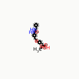 CCO[C@@H](Cc1ccc(OCCc2ccc(NC(=O)NCc3ccccc3)cc2)cc1)C(=O)O